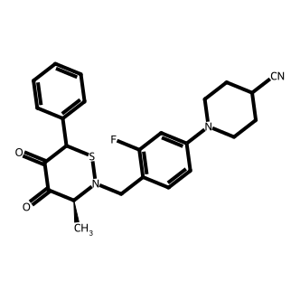 C[C@H]1C(=O)C(=O)C(c2ccccc2)SN1Cc1ccc(N2CCC(C#N)CC2)cc1F